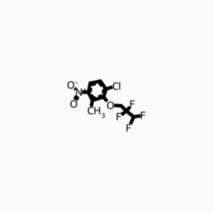 Cc1c([N+](=O)[O-])ccc(Cl)c1OCC(F)(F)C(F)F